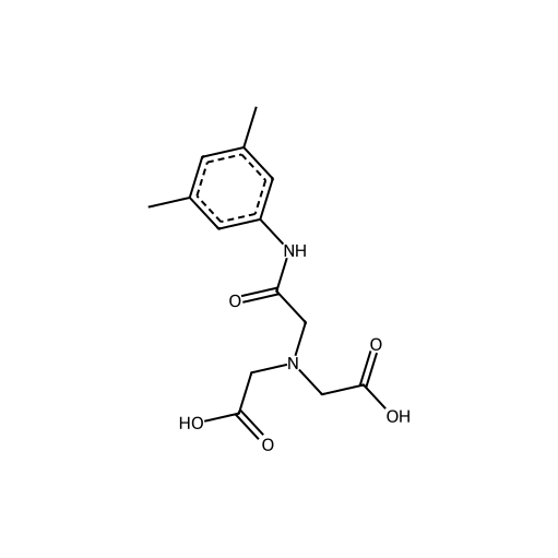 Cc1cc(C)cc(NC(=O)CN(CC(=O)O)CC(=O)O)c1